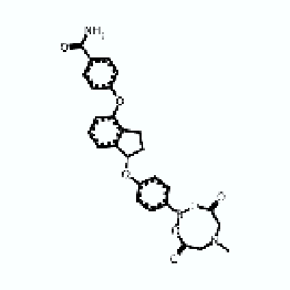 CN1CC(=O)OB(c2ccc(O[C@@H]3CCc4c(Oc5ccc(C(N)=O)cc5)cccc43)cc2)OC(=O)C1